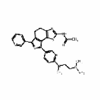 CC(=O)Nc1nc2c(s1)-c1c(c(-c3cccnc3)nn1-c1ccc(N(C)CCN(C)C)nc1)CC2